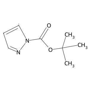 CC(C)(C)OC(=O)n1[c]ccn1